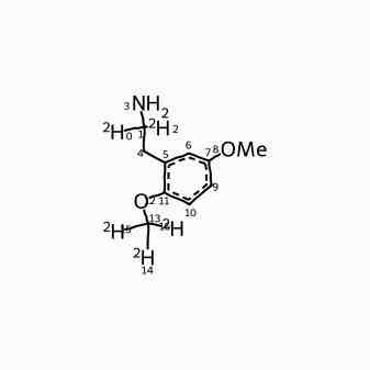 [2H]C([2H])(N)Cc1cc(OC)ccc1OC([2H])([2H])[2H]